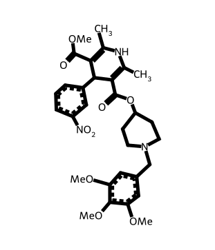 COC(=O)C1=C(C)NC(C)=C(C(=O)OC2CCN(Cc3cc(OC)c(OC)c(OC)c3)CC2)C1c1cccc([N+](=O)[O-])c1